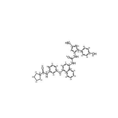 CCCCc1cc(NC(=O)Nc2ccc(Oc3ccnc(NC(=O)N4CCCC4)c3)c3ccccc23)n(-c2ccc(O)cc2)n1